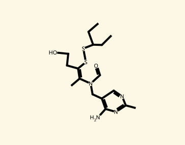 CCC(CC)SS/C(CCO)=C(/C)N(C=O)Cc1cnc(C)nc1N